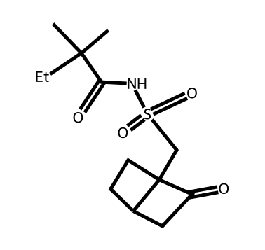 CCC(C)(C)C(=O)NS(=O)(=O)CC12CCC1CC2=O